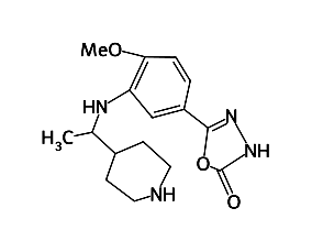 COc1ccc(-c2n[nH]c(=O)o2)cc1NC(C)C1CCNCC1